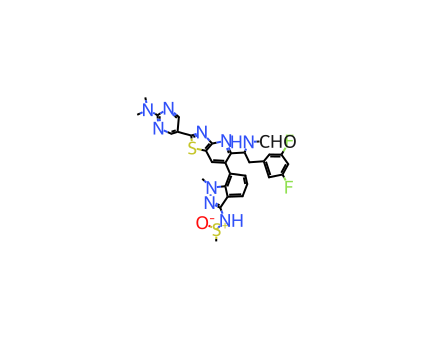 CN(C)c1ncc(-c2nc3nc(C(Cc4cc(F)cc(F)c4)NC=O)c(-c4cccc5c(N[S+](C)[O-])nn(C)c45)cc3s2)cn1